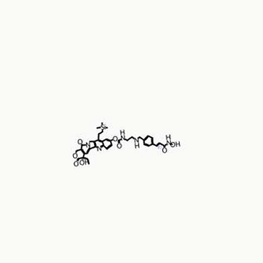 CC[C@@]1(O)C(=O)OCc2c1cc1n(c2=O)Cc2c-1nc1ccc(OC(=O)NCCNCc3ccc(/C=C/C(=O)NO)cc3)cc1c2CC[Si](C)(C)C